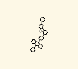 c1ccc(-c2ccc3oc4c(-c5ccc(-c6c7ccccc7c(-c7ccccc7)c7ccccc67)cc5)cccc4c3c2)cc1